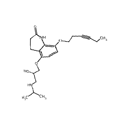 CCC#CCCOc1ccc(OCC(O)CNC(C)C)c2c1NC(=O)CC2